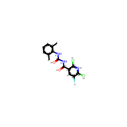 Cc1cccc(C)c1NC(=O)NC(=O)c1cc(F)c(Cl)nc1Cl